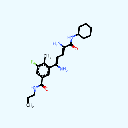 C=CCNC(=O)c1cc(F)c(C)c(/C(N)=C/C=C(\N)C(=O)NC2CCCCC2)c1